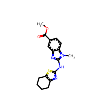 COC(=O)c1ccc2c(c1)nc(Nc1nc3c(s1)CCCC3)n2C